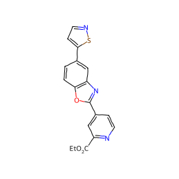 CCOC(=O)c1cc(-c2nc3cc(-c4ccns4)ccc3o2)ccn1